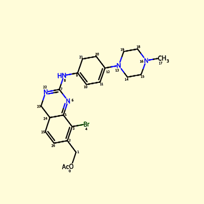 CC(=O)OCC1=C(Br)C2=NC(NC3=CC=C(N4CCN(C)CC4)CC3)=NCC2C=C1